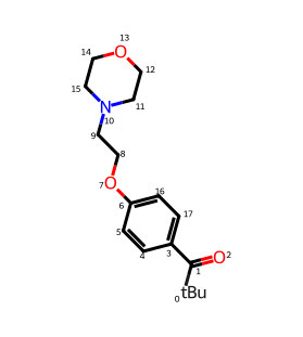 CC(C)(C)C(=O)c1ccc(OCCN2CCOCC2)cc1